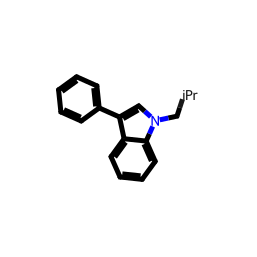 CC(C)Cn1cc(-c2ccccc2)c2ccccc21